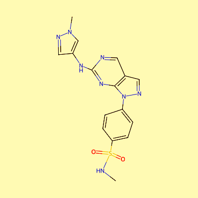 CNS(=O)(=O)c1ccc(-n2ncc3cnc(Nc4cnn(C)c4)nc32)cc1